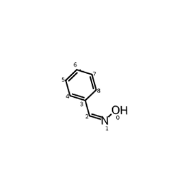 O/N=C\c1cc[c]cc1